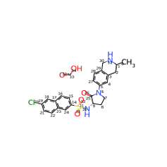 CC1Cc2cc(N3CC[C@H](NS(=O)(=O)c4ccc5cc(Cl)ccc5c4)C3=O)ccc2CN1.O=CO